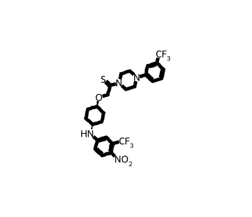 O=[N+]([O-])c1ccc(N[C@H]2CC[C@H](OCC(=S)N3CCN(c4cccc(C(F)(F)F)c4)CC3)CC2)cc1C(F)(F)F